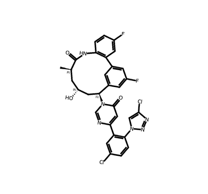 C[C@@H]1C[C@@H](O)C[C@H](n2cnc(-c3cc(Cl)ccc3-n3cc(Cl)nn3)cc2=O)c2cc(F)cc(c2)-c2cc(F)ccc2NC1=O